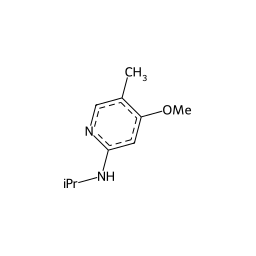 COc1cc(NC(C)C)ncc1C